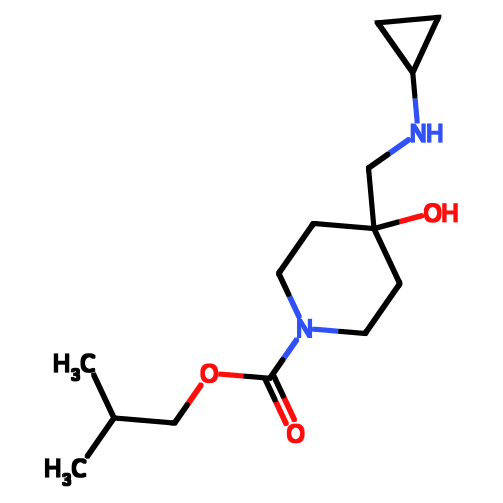 CC(C)COC(=O)N1CCC(O)(CNC2CC2)CC1